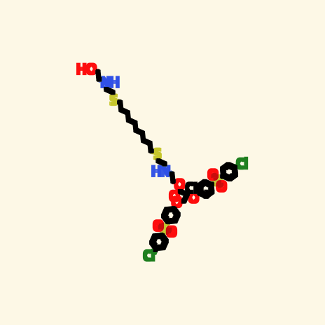 CC(COc1ccc(S(=O)(=O)c2ccc(Cl)cc2)cc1)(Oc1ccc(S(=O)(=O)c2ccc(Cl)cc2)cc1)C(=O)OCCNCCSCCCCCCCCCCSCCNCCO